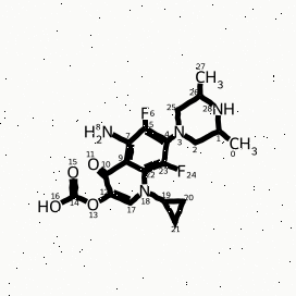 CC1CN(c2c(F)c(N)c3c(=O)c(OC(=O)O)cn(C4CC4)c3c2F)CC(C)N1